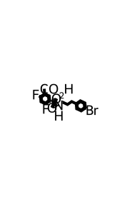 O=C(O)c1cc(S(=O)(=O)NCCCc2ccc(Br)cc2)c(F)cc1F